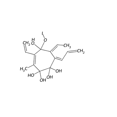 C=C/C=C1\C(=C/C)C(O)(OI)C(C=C)=C(C)C(O)(O)C1(O)O